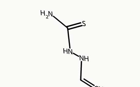 C=CNNC(N)=S